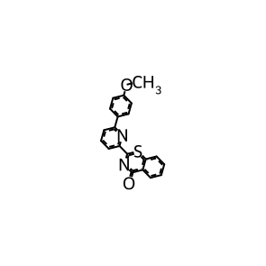 COc1ccc(-c2cccc(-c3nc(=O)c4ccccc4s3)n2)cc1